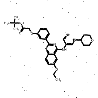 CCOc1ccc2nc(-c3cccc(OCC(=O)NC(C)(C)C)c3)nc(N/C(C=N)=C/NC3CCOCC3)c2c1